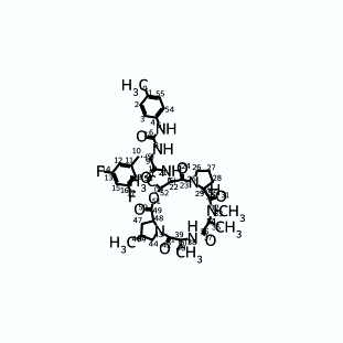 Cc1ccc(NC(=O)N[C@@H](Cc2cc(F)cc(F)c2)C(=O)N[C@@H]2C(=O)N3CCC[C@H]3C(=O)N(C)[C@@H](C)C(=O)N[C@@H](C)C(=O)N3C[C@@H](C)CC3C(=O)O[C@H]2C)cc1